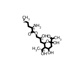 CSCC[C@@H](N)C(=O)OC[C@@H](O)CC1OC(O)(C(C)=O)CC(O)C1[C@@H](C)O